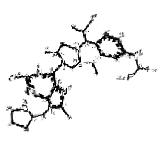 CC[C@@H]1CN(c2nc(Cl)nc3c2nc(C)n3CC2CCCO2)[C@@H](C)CN1C(c1ccc(OC(F)F)cc1)C(C)C